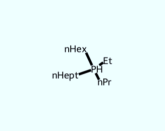 CCCCCCC[PH](CC)(CCC)CCCCCC